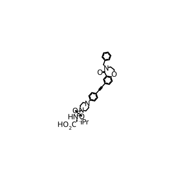 CC(C)[C@@H](NS(=O)(=O)N1CCN(c2ccc(C#Cc3ccc4c(c3)C(=O)N(Cc3ccccc3)CCO4)cc2)CC1)C(=O)O